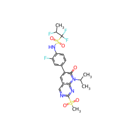 CC(C)n1c(=O)c(-c2ccc(NS(=O)(=O)C(F)(F)C(C)F)c(F)c2)cc2cnc(S(C)(=O)=O)nc21